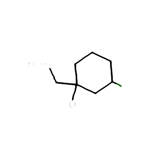 CCOC(=O)CC1(CC)CCCC([18F])C1